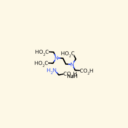 NCC(=O)O.O=C(O)CN(CCN(CC(=O)O)CC(=O)O)CC(=O)O.[NaH]